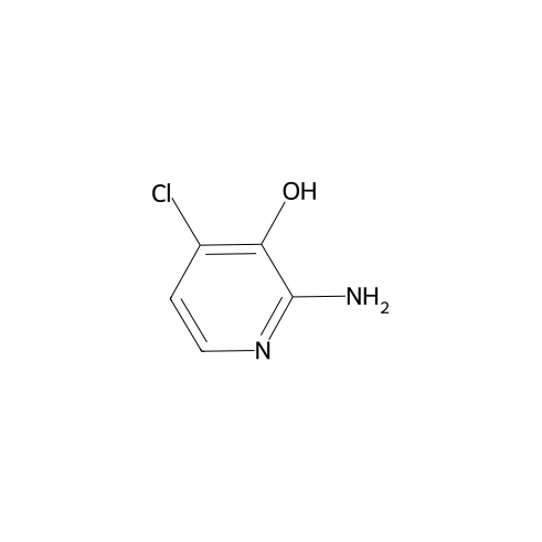 Nc1nccc(Cl)c1O